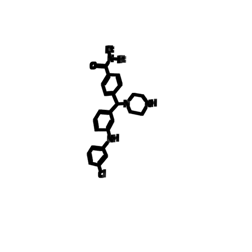 CCN(CC)C(=O)c1ccc(C(c2cccc(Nc3cccc(Cl)c3)c2)N2CCNCC2)cc1